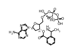 CC(N)c1ccccc1C(=O)O[C@@H]1C[C@H](n2cnc3c(N)ncnc32)OC1COP(=O)(O)OP(=O)(O)OP(=O)(O)O